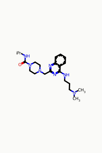 CC(C)NC(=O)N1CCN(Cc2nc(NCCCN(C)C)c3ccccc3n2)CC1